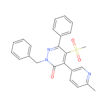 Cc1ccc(-c2c(S(C)(=O)=O)c(-c3ccccc3)nn(Cc3ccccc3)c2=O)cn1